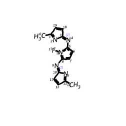 CC1=N/C(=N\c2ccc(/N=C3/C=CC(C)=N3)n2F)C=C1